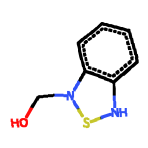 OCN1SNc2ccccc21